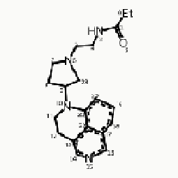 CCC(=O)NCCN1CCC(N2CCc3cncc4cccc2c34)C1